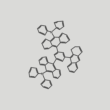 C1=Cc2cc3ccccc3c(-c3cc(-c4c5ccccc5c(N(c5ccccc5)c5ccccc5)c5ccccc45)cc(-c4c5ccccc5c(N(c5ccccc5)c5ccccc5)c5ccccc45)c3)c2CC1